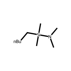 CCCCC[Si](C)(C)N(C)C